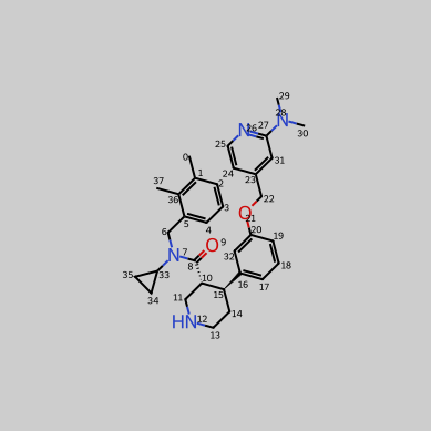 Cc1cccc(CN(C(=O)[C@H]2CNCC[C@@H]2c2cccc(OCc3ccnc(N(C)C)c3)c2)C2CC2)c1C